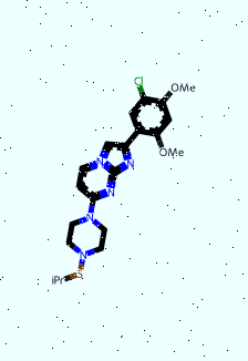 COc1cc(OC)c(-c2cn3ccc(N4CCN(SC(C)C)CC4)nc3n2)cc1Cl